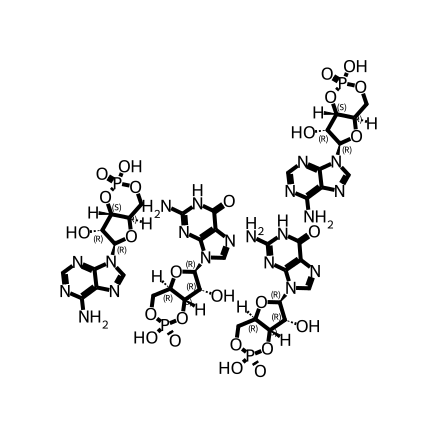 Nc1nc2c(ncn2[C@@H]2O[C@@H]3COP(=O)(O)O[C@H]3[C@H]2O)c(=O)[nH]1.Nc1nc2c(ncn2[C@@H]2O[C@@H]3COP(=O)(O)O[C@H]3[C@H]2O)c(=O)[nH]1.Nc1ncnc2c1ncn2[C@@H]1O[C@@H]2COP(=O)(O)O[C@H]2[C@H]1O.Nc1ncnc2c1ncn2[C@@H]1O[C@@H]2COP(=O)(O)O[C@H]2[C@H]1O